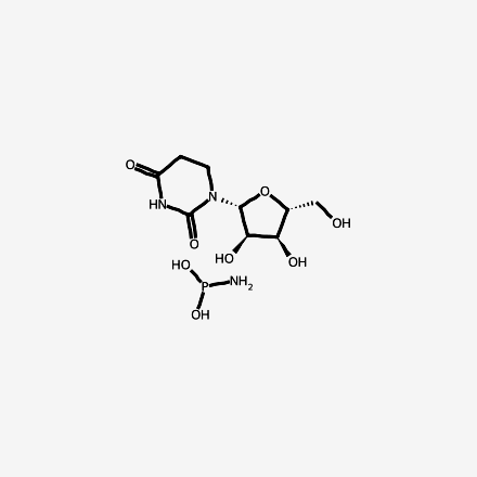 NP(O)O.O=C1CCN([C@@H]2O[C@H](CO)[C@@H](O)[C@H]2O)C(=O)N1